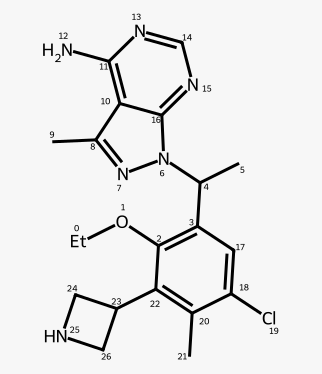 CCOc1c(C(C)n2nc(C)c3c(N)ncnc32)cc(Cl)c(C)c1C1CNC1